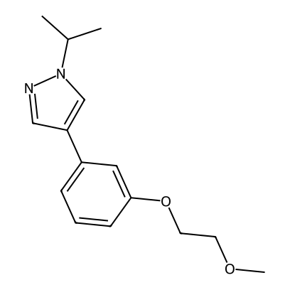 COCCOc1cccc(-c2cnn(C(C)C)c2)c1